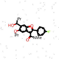 CNC(=O)c1c(-c2ccc(F)cc2)oc2cc(C(O)C(C)C)c(OC(C)C)cc12